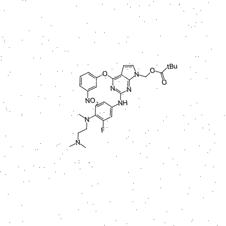 CN(C)CCN(C)c1ccc(Nc2nc(Oc3cccc([N+](=O)[O-])c3)c3ccn(COC(=O)C(C)(C)C)c3n2)cc1F